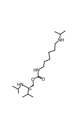 CC(C)NCCCCCCNC(=O)OC[C@H](NC(C)C)C(C)C